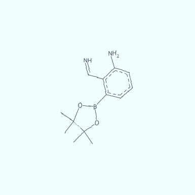 CC1(C)OB(c2cccc(N)c2C=N)OC1(C)C